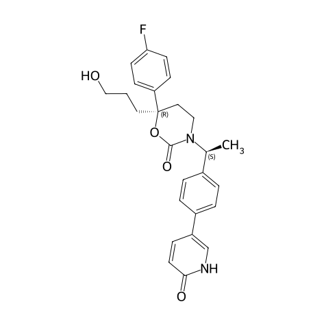 C[C@@H](c1ccc(-c2ccc(=O)[nH]c2)cc1)N1CC[C@](CCCO)(c2ccc(F)cc2)OC1=O